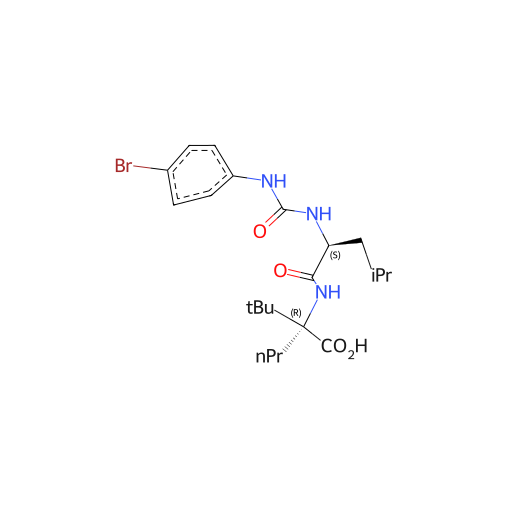 CCC[C@](NC(=O)[C@H](CC(C)C)NC(=O)Nc1ccc(Br)cc1)(C(=O)O)C(C)(C)C